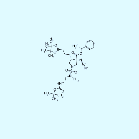 C[C@@H](OC(=O)[C@]1(N=[N+]=[N-])CN(S(=O)(=O)N(C)CCNC(=O)OC(C)(C)C)C[C@@H]1CCCB1OC(C)(C)C(C)(C)O1)c1ccccc1